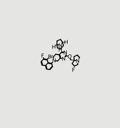 Fc1ccc2cccc(N3CCc4c(nc(OC[C@@]56CCCN5C[C@H](F)C6)nc4[C@H]4C[C@H]5CC[C@@H](C4)N5)C3)c2c1Br